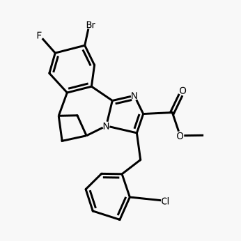 COC(=O)c1nc2n(c1Cc1ccccc1Cl)C1CC(C1)c1cc(F)c(Br)cc1-2